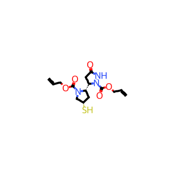 C=CCOC(=O)N1NC(=O)CC1[C@@H]1C[C@H](S)CN1C(=O)OCC=C